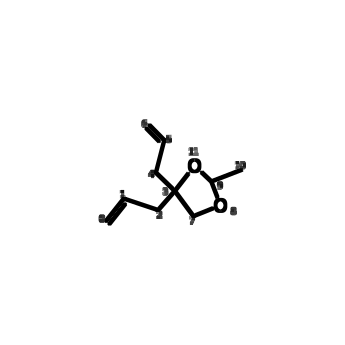 C=CCC1(CC=C)COC(C)O1